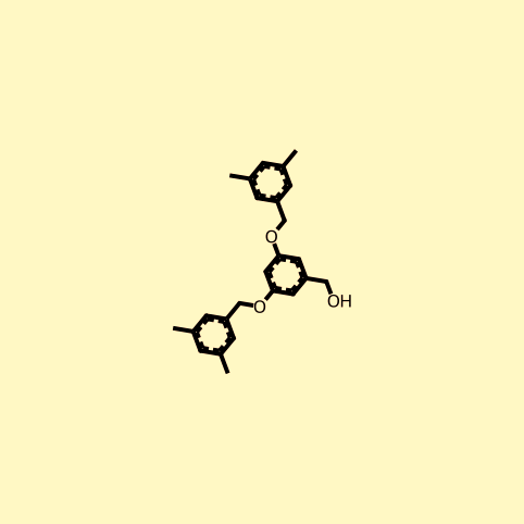 Cc1cc(C)cc(COc2cc(CO)cc(OCc3cc(C)cc(C)c3)c2)c1